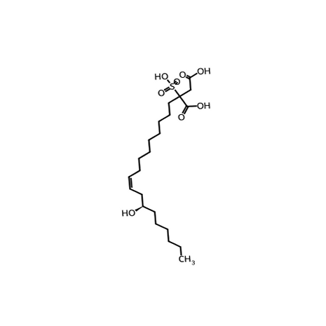 CCCCCC[C@@H](O)C/C=C\CCCCCCCCC(CC(=O)O)(C(=O)O)S(=O)(=O)O